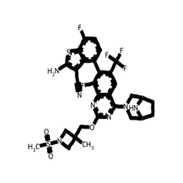 CC1(COc2nc(N3CC4CCC(C3)N4)c3cc(C(F)(F)F)c(-c4ccc(F)c5sc(N)c(C#N)c45)c(F)c3n2)CN(S(C)(=O)=O)C1